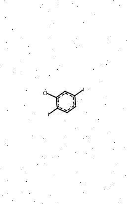 Clc1cc(I)ccc1I